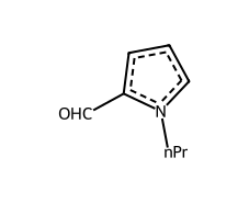 CCCn1cccc1C=O